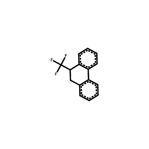 FC(F)(F)C1Cc2ccccc2-c2ccccc21